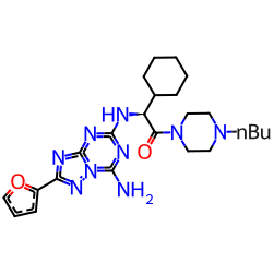 CCCCN1CCN(C(=O)[C@@H](Nc2nc(N)n3nc(-c4ccco4)nc3n2)C2CCCCC2)CC1